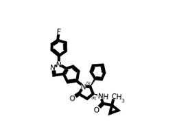 CC1(C(=O)N[C@@H]2CC(=O)N(c3ccc4c(cnn4-c4ccc(F)cc4)c3)[C@H]2c2ccccc2)CC1